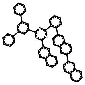 c1ccc(-c2cc(-c3ccccc3)cc(-c3nc(-c4ccc5ccccc5c4)nc(-c4ccccc4-c4ccc5cc(-c6ccc7ccccc7c6)ccc5c4)n3)c2)cc1